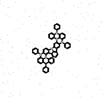 c1ccc(C2c3ccccc3B3c4c2cccc4N(c2ccccc2)c2ccc4c(c23)c2cccc3c5cc6c(cc5n4c32)B2c3ccccc3N(c3ccccc3)c3cccc(c32)N6c2ccccc2)cc1